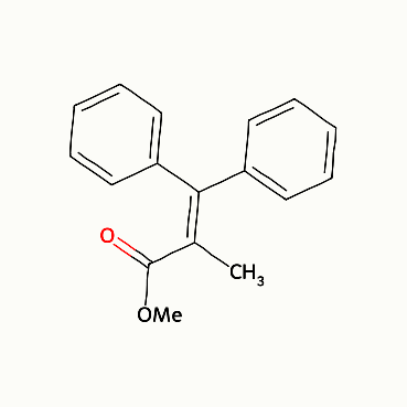 COC(=O)C(C)=C(c1ccccc1)c1ccccc1